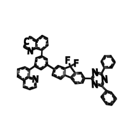 FC1(F)c2cc(-c3cc(-c4cccc5cccnc45)cc(-c4cccc5cccnc45)c3)ccc2-c2ccc(-c3nc(-c4ccccc4)nc(-c4ccccc4)n3)cc21